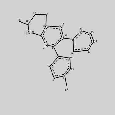 Cc1ccc(-c2nc3c(nc2-c2ccccc2)CCC(C)N3)cc1